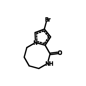 O=C1NCCCCn2cc(Br)cc21